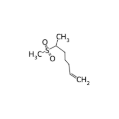 C=CCCCC(C)S(C)(=O)=O